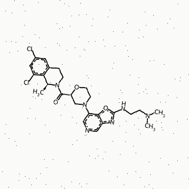 C[C@H]1c2c(Cl)cc(Cl)cc2CCN1C(=O)[C@@H]1CN(c2cncc3nc(NCCN(C)C)oc23)CCO1